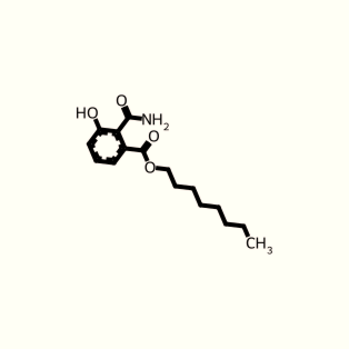 CCCCCCCCOC(=O)c1cccc(O)c1C(N)=O